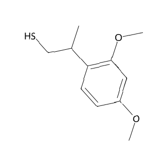 COc1ccc(C(C)CS)c(OC)c1